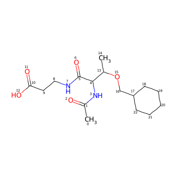 CC(=O)NC(C(=O)NCCC(=O)O)C(C)OCC1CCCCC1